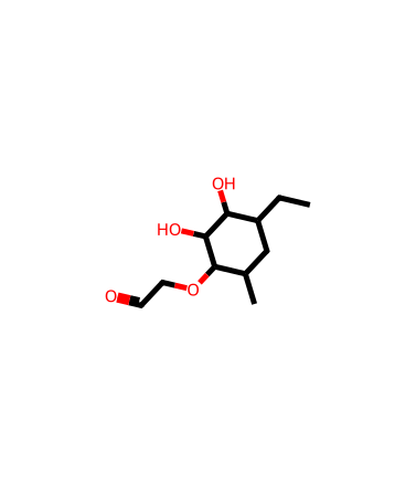 CCC1CC(C)C(OCC=O)C(O)C1O